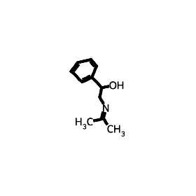 CC(C)=NCC(O)c1ccccc1